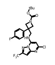 CC(C)(C)OC(=O)N1CC(CNc2cc(Cl)nc3cc(C(F)(F)F)nn23)(c2ccc(F)cc2)C1